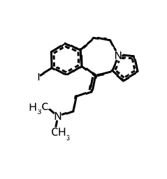 CN(C)CC/C=C1\c2cc(I)ccc2CCn2cccc21